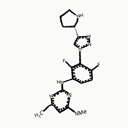 CNc1cc(C)nc(Nc2ccc(F)c(-n3cc([C@@H]4CCCN4)nn3)c2F)n1